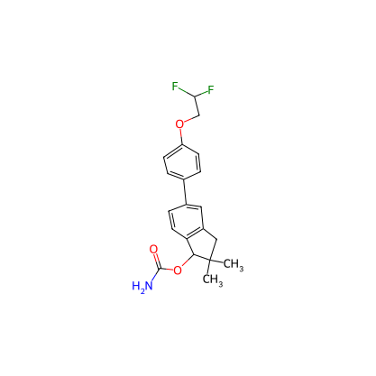 CC1(C)Cc2cc(-c3ccc(OCC(F)F)cc3)ccc2C1OC(N)=O